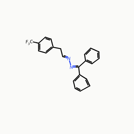 FC(F)(F)c1ccc(CC=NN=C(c2ccccc2)c2ccccc2)cc1